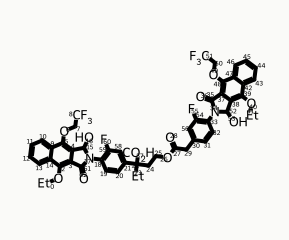 CCOc1c2c(c(OCC(F)(F)F)c3ccccc13)C(O)N(c1ccc(C(CC)(CCOC(=O)Cc3ccc(N4C(=O)c5c(c(OCC)c6ccccc6c5OCC(F)(F)F)C4O)c(F)c3)C(=O)O)cc1F)C2=O